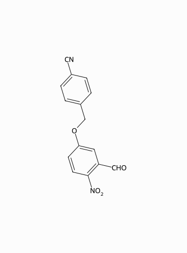 N#Cc1ccc(COc2ccc([N+](=O)[O-])c(C=O)c2)cc1